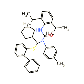 Cc1ccc(N(C(=O)Nc2c(C(C)C)cccc2C(C)C)C(Sc2ccccc2-c2ccccc2)C2CCCCC2)cc1